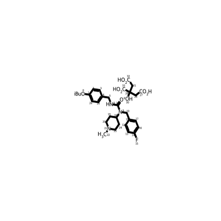 CC(C)COc1ccc(CNC(=O)N(Cc2ccc(F)cc2)C2CCN(C)CC2)cc1.O=C(O)CC(O)(CC(=O)O)C(=O)O